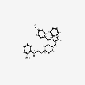 Nc1ccccc1NCCN1CCC(Cc2nc3ccccc3n2Cc2ccc(F)cc2)CC1